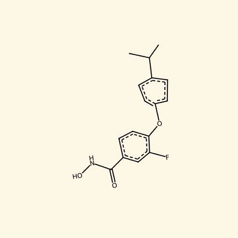 CC(C)c1ccc(Oc2ccc(C(=O)NO)cc2F)cc1